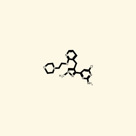 Cn1cc(Cc2cccnc2OCCN2CCOCC2)c(-c2cc(Cl)nc(N)n2)n1